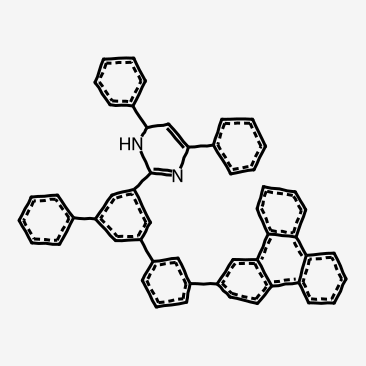 C1=C(c2ccccc2)N=C(c2cc(-c3ccccc3)cc(-c3cccc(-c4ccc5c6ccccc6c6ccccc6c5c4)c3)c2)NC1c1ccccc1